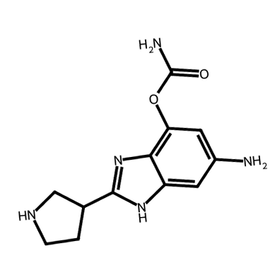 NC(=O)Oc1cc(N)cc2[nH]c(C3CCNC3)nc12